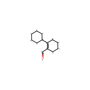 O=CC1=C(C2CCCCC2)CCCC1